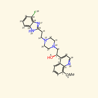 COc1cccc2c([C@@H](O)CN3CCN(CCc4nc5c(F)cccc5[nH]4)CC3)ccnc12